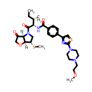 CC[C@H](C)[C@H](NC(=O)c1ccc(-c2csc(N3CCN(CCOC)CC3)n2)cc1)C(=O)N1C[C@H](SC)[C@H]2OCC(=O)[C@H]21